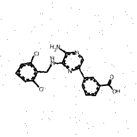 Nc1ncc(-c2cccc(C(=O)O)c2)nc1NCc1c(Cl)cccc1Cl